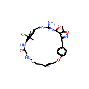 Cc1cc2cc(Cl)c1NC(=O)CNCCC/C=C\COc1ccc(cc1)-c1noc(C)c1C(=O)/N=C(\N)NC2